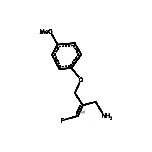 COc1ccc(OC/C(=C\F)CN)cc1